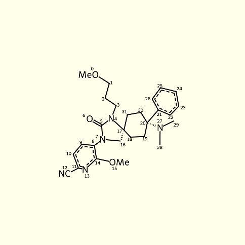 COCCCN1C(=O)N(c2ccc(C#N)nc2OC)C[C@]12CC[C@@](c1ccccc1)(N(C)C)CC2